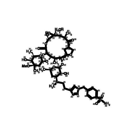 CC[C@H]1OC(=O)[C@H](C)[C@@H](O[C@H]2C[C@@](C)(OC)[C@@H](O)[C@H](C)O2)[C@H](C)[C@@H](O[C@@H]2O[C@H](C)C[C@H](N(C)CCc3cn(Cc4ccc(S(N)(=O)=O)cc4)nn3)[C@H]2O)[C@@]2(C)C[C@@H](CO2)C(=O)[C@H](C)[C@@H](O)[C@]1(C)O